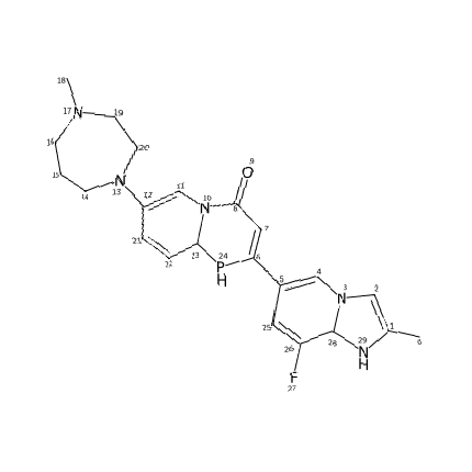 CC1=CN2C=C(C3=CC(=O)N4C=C(N5CCCN(C)CC5)C=CC4P3)C=C(F)C2N1